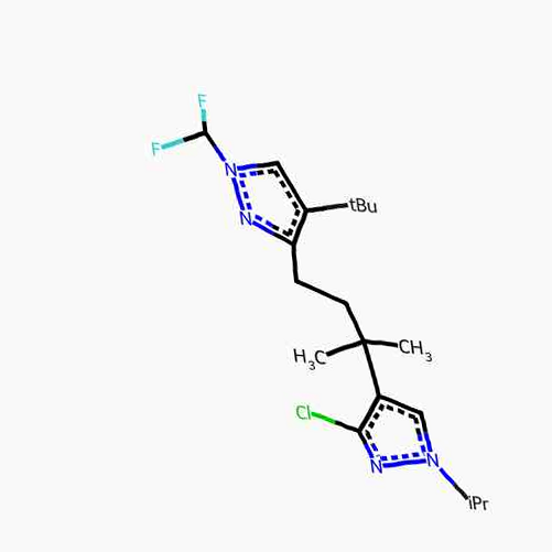 CC(C)n1cc(C(C)(C)CCc2nn(C(F)F)cc2C(C)(C)C)c(Cl)n1